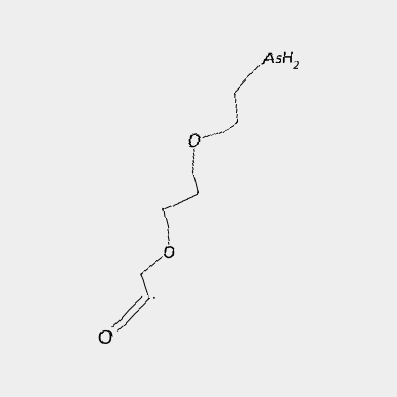 O=[C]COCCOCC[AsH2]